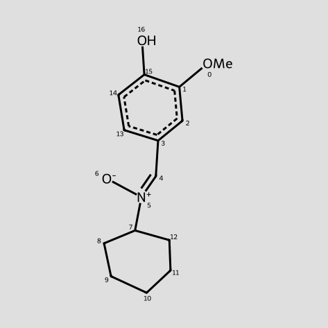 COc1cc(C=[N+]([O-])C2CCCCC2)ccc1O